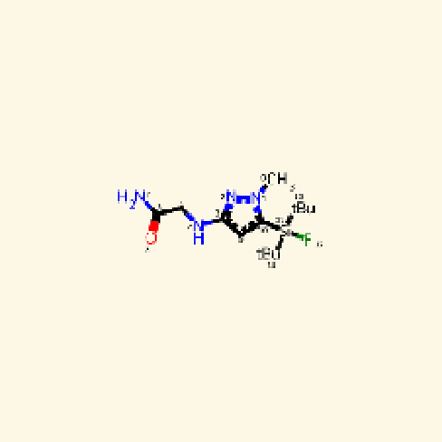 Cn1nc(NCC(N)=O)cc1[Si](F)(C(C)(C)C)C(C)(C)C